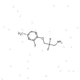 Cc1ccc(OCC(F)(F)CN)c(F)c1